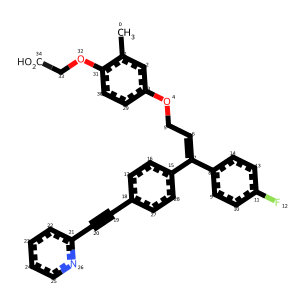 Cc1cc(OC/C=C(/c2ccc(F)cc2)c2ccc(C#Cc3ccccn3)cc2)ccc1OCC(=O)O